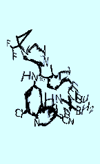 BC(B)(Nc1c(C#N)cnc2c(Cl)cc(N[C@H](c3cn(C4(C(F)F)CC4)nn3)c3ccc(F)nc3C)cc12)C(C)(C)C